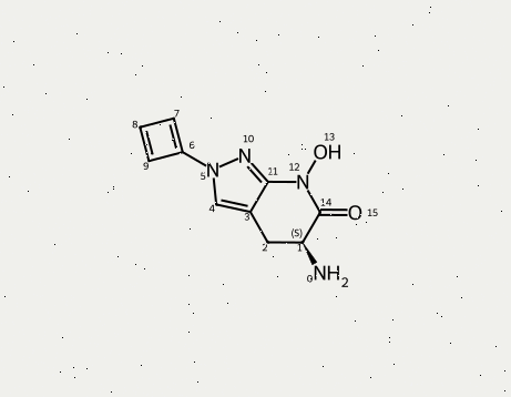 N[C@H]1Cc2cn(C3=CC=C3)nc2N(O)C1=O